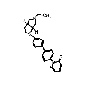 CCN1C[C@H]2CCN(c3ccc(-c4ccc(-n5ncccc5=O)cc4)cc3)[C@H]2C1